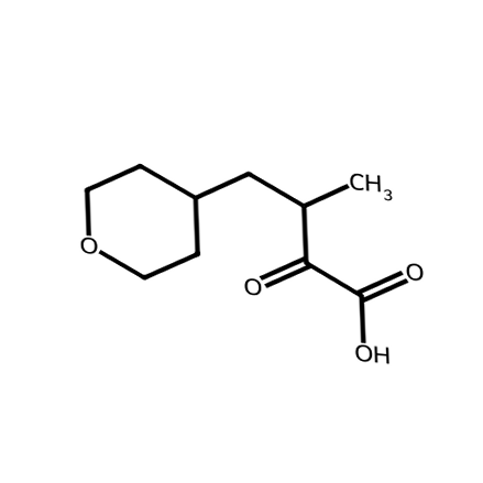 CC(CC1CCOCC1)C(=O)C(=O)O